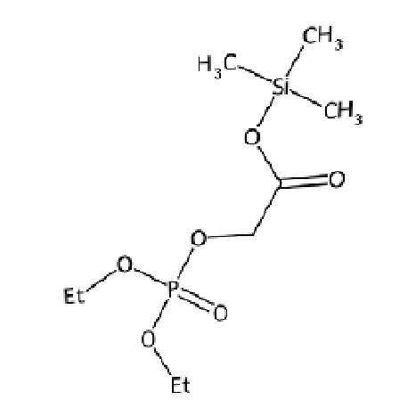 CCOP(=O)(OCC)OCC(=O)O[Si](C)(C)C